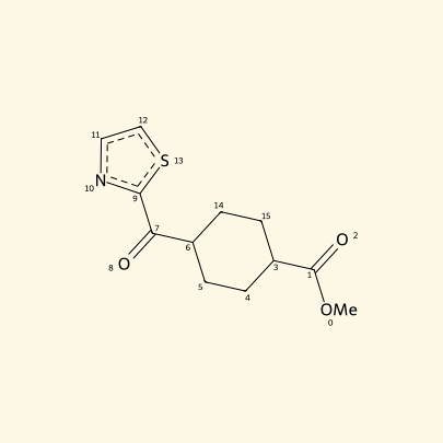 COC(=O)C1CCC(C(=O)c2nccs2)CC1